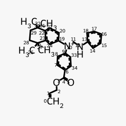 C=CCOC(=O)c1ccc([N+](=CNc2ccccc2)c2ccc3c(c2)C(C)(C)CCC3(C)C)cc1